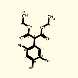 CCOC(=O)C(C(=O)OCC)c1cc(F)c(F)cc1F